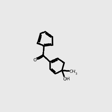 CC1(O)C=CC(C(=O)c2ccccc2)=CC1